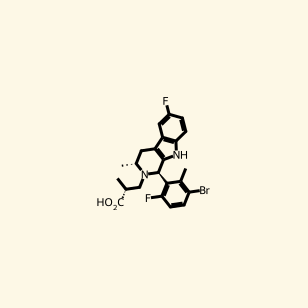 Cc1c(Br)ccc(F)c1[C@@H]1c2[nH]c3ccc(F)cc3c2C[C@@H](C)N1C[C@@H](C)C(=O)O